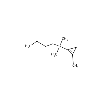 CCCC[Si](C)(C)C1=C(C)C1